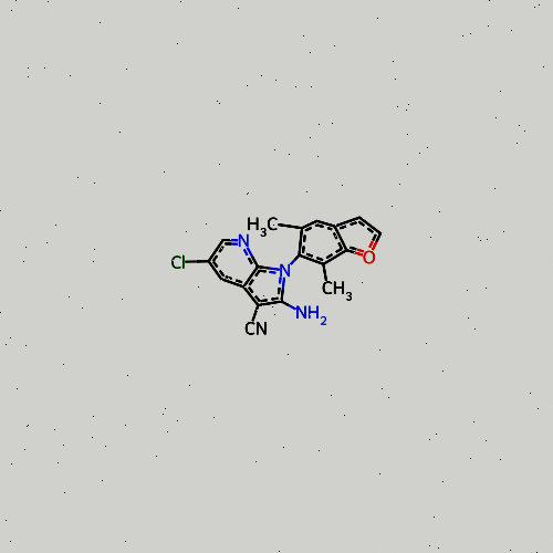 Cc1cc2ccoc2c(C)c1-n1c(N)c(C#N)c2cc(Cl)cnc21